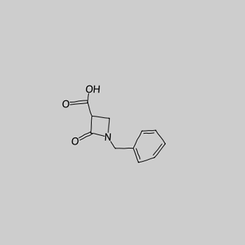 O=C(O)C1CN(Cc2ccccc2)C1=O